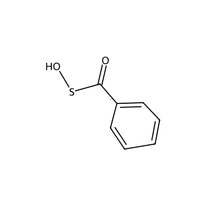 O=C(SO)c1ccccc1